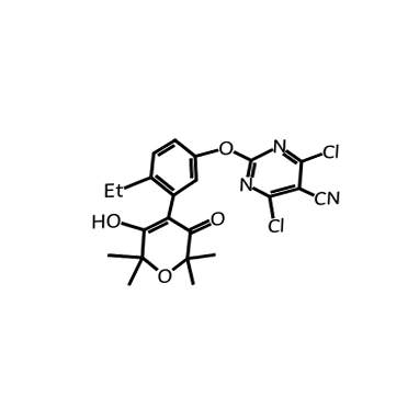 CCc1ccc(Oc2nc(Cl)c(C#N)c(Cl)n2)cc1C1=C(O)C(C)(C)OC(C)(C)C1=O